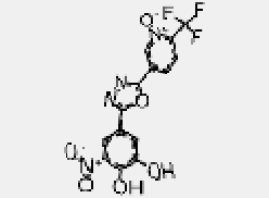 O=[N+]([O-])c1cc(-c2nnc(-c3ccc(C(F)(F)F)[n+]([O-])c3)o2)cc(O)c1O